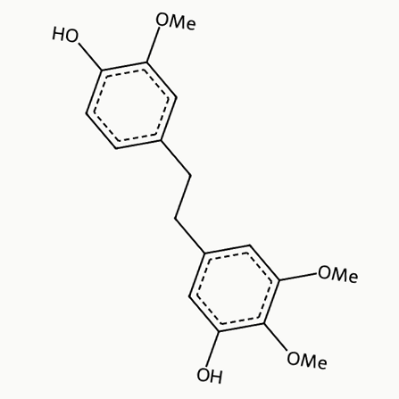 COc1cc(CCc2cc(O)c(OC)c(OC)c2)ccc1O